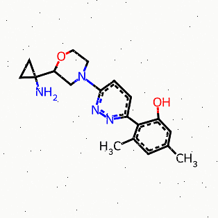 Cc1cc(C)c(-c2ccc(N3CCOC(C4(N)CC4)C3)nn2)c(O)c1